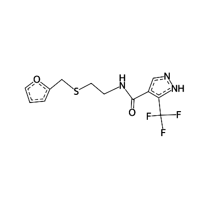 O=C(NCCSCc1ccco1)c1cn[nH]c1C(F)(F)F